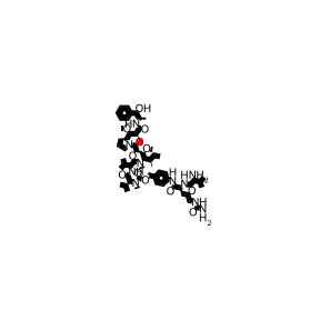 CC[C@H](C)[C@@H]([C@@H](CC(=O)N1CCC[C@H]1[C@H](OC)[C@@H](C)C(=O)N[C@H](C)[C@@H](O)c1ccccc1)OC)N(C)C(=O)[C@@H](NC(=O)[C@@H](C(C)C)N(C)C(=O)OCc1ccc(NC(=O)[C@H](CCCNC(N)=O)NC(=O)[C@H](N)C(C)C)cc1)C(C)C